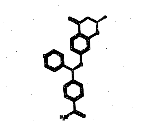 C[C@H]1CC(=O)c2ccc(O[C@H](c3ccncc3)c3ccc(C(N)=O)cc3)cc2O1